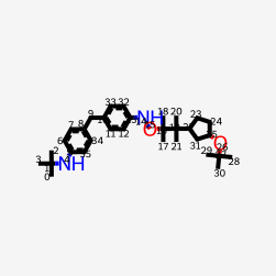 CC(C)(C)Nc1ccc(Cc2ccc(NOC(C)(C)C(C)(C)C3CCC(OC(C)(C)C)C3)cc2)cc1